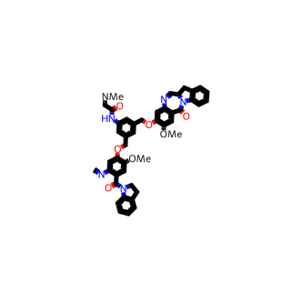 C=Nc1cc(OCc2cc(COc3cc4c(cc3OC)C(=O)N3c5ccccc5CC3C=N4)cc(NC(=O)CNC)c2)c(OC)cc1C(=O)N1CCc2ccccc21